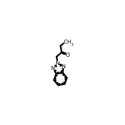 CCC(=O)Cn1nc2ccccc2n1